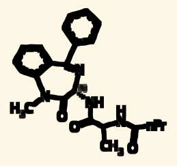 CCCC(=O)NC(C)C(=O)N[C@H]1N=C(c2ccccc2)c2ccccc2N(C)C1=O